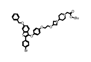 CC(C)(C)OC(=O)CN1CCC(N2CC(OCCOc3ccc(Oc4c(-c5ccc(Br)cc5)sc5cc(OCc6ccccc6)ccc45)cc3)C2)CC1